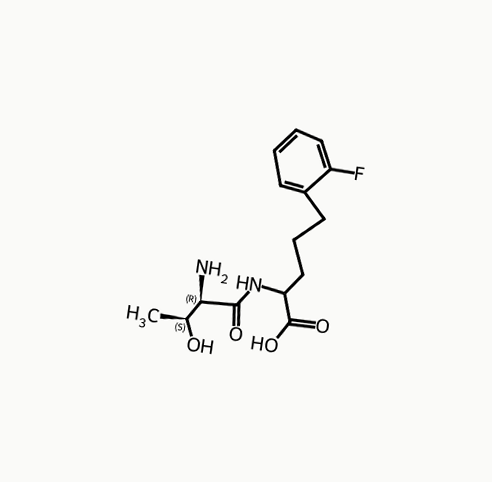 C[C@H](O)[C@@H](N)C(=O)NC(CCCc1ccccc1F)C(=O)O